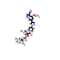 COc1cc(-c2cnn(C3CCN(C(=O)C4(OC)CN(C(=O)OC(C)(C)C)C4)CC3)c2)cn2ncc(C#N)c12